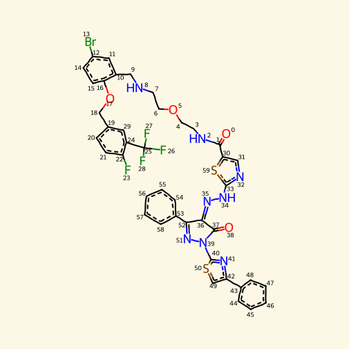 O=C(NCCOCCNCc1cc(Br)ccc1OCc1ccc(F)c(C(F)(F)F)c1)c1cnc(NN=C2C(=O)N(c3nc(-c4ccccc4)cs3)N=C2c2ccccc2)s1